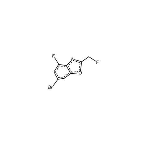 FCc1nc2c(F)cc(Br)cc2o1